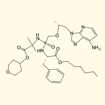 CCCCCCOC(=O)[C@H](Cc1ccccc1)NP(=O)(CO[C@H](C)Cn1cnc2c(N)ccnc21)NC(C)(C)C(=O)OC1CCOCC1